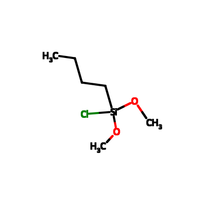 CCCC[Si](Cl)(OC)OC